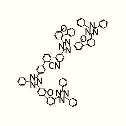 N#Cc1c(-c2ccc(-c3nc(-c4ccccc4)nc(-c4ccc5c(c4)oc4c(-c6nc(-c7ccccc7)nc(-c7ccccc7)n6)cccc45)n3)cc2)cccc1-c1cccc(-c2nc(-c3ccc4c(c3)oc3c(-c5nc(-c6ccccc6)nc(-c6ccccc6)n5)cccc34)nc(-c3cccc4oc5ccccc5c34)n2)c1